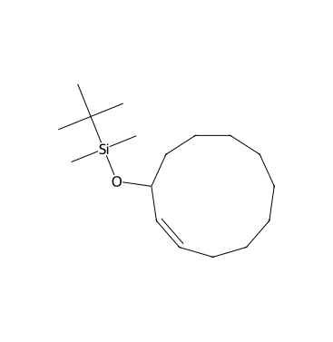 CC(C)(C)[Si](C)(C)OC1C=CCCCCCCCC1